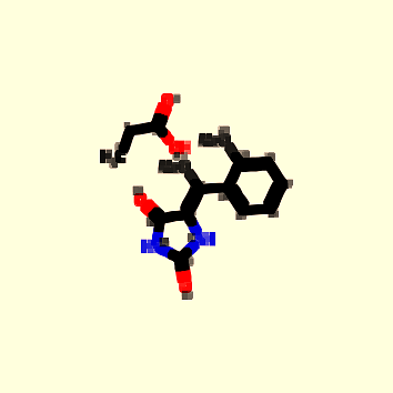 CCC(=O)O.COC(=C1NC(=O)NC1=O)c1ccccc1OC